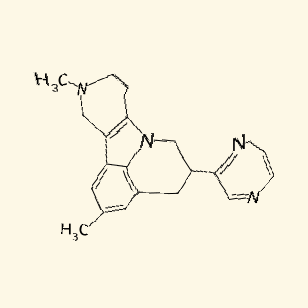 Cc1cc2c3c(c1)c1c(n3CC(c3cnccn3)C2)CCN(C)C1